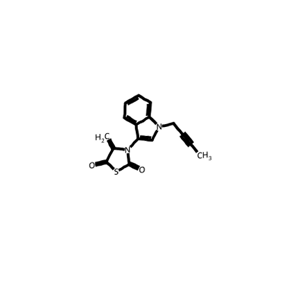 C=C1C(=O)SC(=O)N1c1cn(CC#CC)c2ccccc12